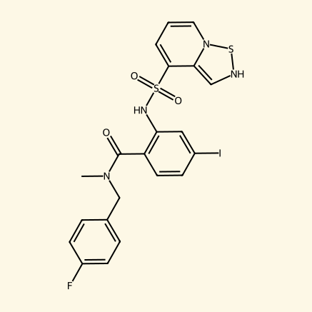 CN(Cc1ccc(F)cc1)C(=O)c1ccc(I)cc1NS(=O)(=O)C1=CC=CN2SNC=C12